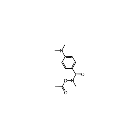 CC(=O)ON(C)C(=O)c1ccc(N(C)C)cc1